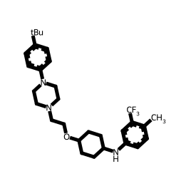 Cc1ccc(NC2CCC(OCCN3CCN(c4ccc(C(C)(C)C)cc4)CC3)CC2)cc1C(F)(F)F